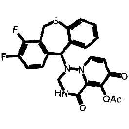 CC(=O)Oc1c2n(ccc1=O)N(C1c3ccccc3SCc3c1ccc(F)c3F)CNC2=O